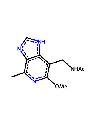 COc1nc(C)c2nc[nH]c2c1CNC(C)=O